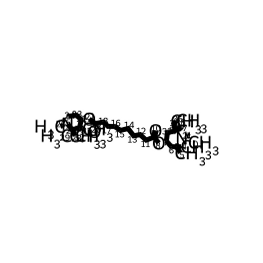 CCN1C(C)(C)CC(OC(=O)CCCCCCCCC(=O)OC2CCN(C)C(C)(C)C2(C)C)CC1(CC)CC